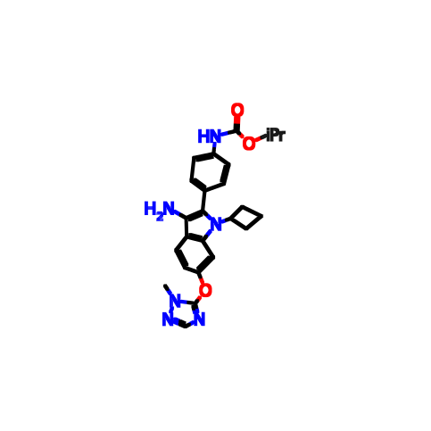 CC(C)OC(=O)Nc1ccc(-c2c(N)c3ccc(Oc4ncnn4C)cc3n2C2CCC2)cc1